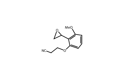 COc1cccc(OCCC#N)c1C1CO1